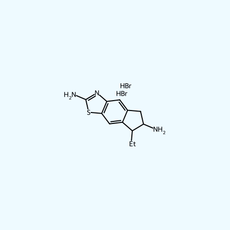 Br.Br.CCC1c2cc3sc(N)nc3cc2CC1N